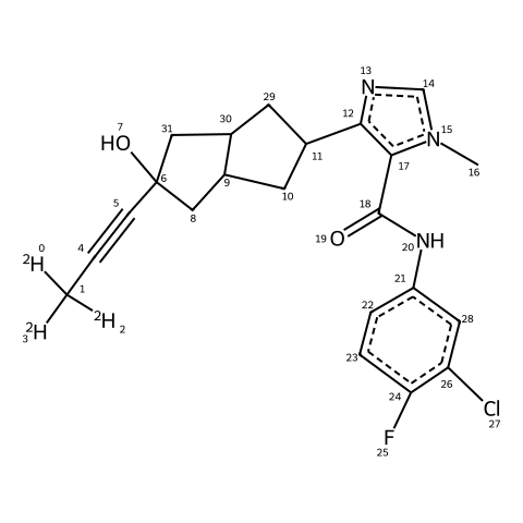 [2H]C([2H])([2H])C#CC1(O)CC2CC(c3ncn(C)c3C(=O)Nc3ccc(F)c(Cl)c3)CC2C1